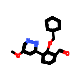 COc1cnnc(-c2cccc(C=O)c2OCc2ccccc2)c1